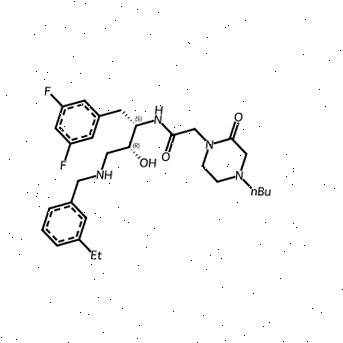 CCCCN1CCN(CC(=O)N[C@@H](Cc2cc(F)cc(F)c2)[C@H](O)CNCc2cccc(CC)c2)C(=O)C1